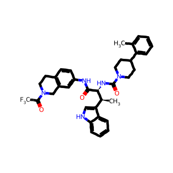 Cc1ccccc1C1CCN(C(=O)N[C@@H](C(=O)Nc2ccc3c(c2)CN(C(=O)C(F)(F)F)CC3)[C@@H](C)c2c[nH]c3ccccc23)CC1